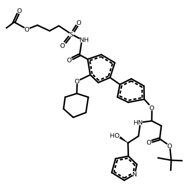 CC(=O)OCCCS(=O)(=O)NC(=O)c1ccc(-c2ccc(OC(CC(=O)OC(C)(C)C)NC[C@H](O)c3cccnc3)cc2)cc1OC1CCCCC1